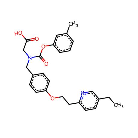 CCc1ccc(CCOc2ccc(CN(CC(=O)O)C(=O)Oc3cccc(C)c3)cc2)nc1